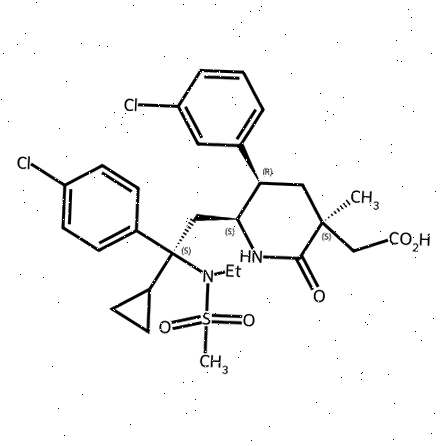 CCN([C@](C[C@@H]1NC(=O)[C@](C)(CC(=O)O)C[C@@H]1c1cccc(Cl)c1)(c1ccc(Cl)cc1)C1CC1)S(C)(=O)=O